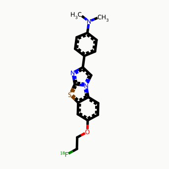 CN(C)c1ccc(-c2cn3c(n2)sc2cc(OCC[18F])ccc23)cc1